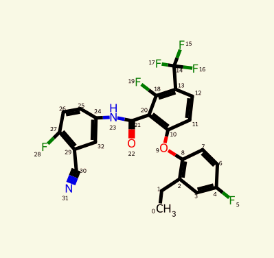 CCc1cc(F)ccc1Oc1ccc(C(F)(F)F)c(F)c1C(=O)Nc1ccc(F)c(C#N)c1